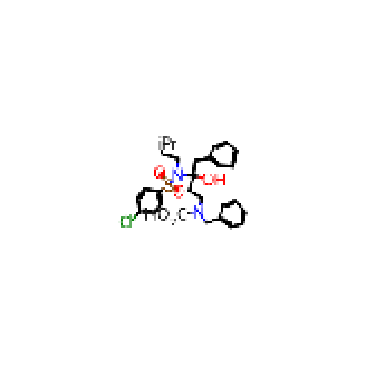 CC(C)CCN(C(O)(CCN(Cc1ccccc1)C(=O)O)Cc1ccccc1)S(=O)(=O)c1ccc(Cl)cc1